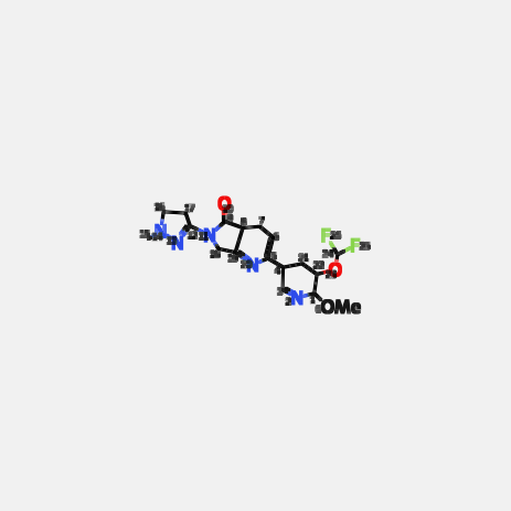 COC1N=CC(C2=CCC3C(=O)N(C4=NN(C)CC4)CC3=N2)CC1OC(F)F